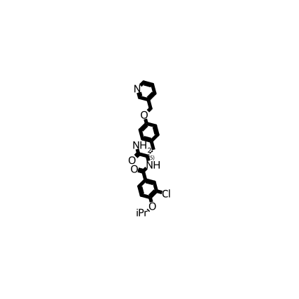 CC(C)Oc1ccc(C(=O)N[C@@H](Cc2ccc(OCc3cccnc3)cc2)C(N)=O)cc1Cl